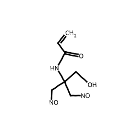 C=CC(=O)NC(CO)(CN=O)CN=O